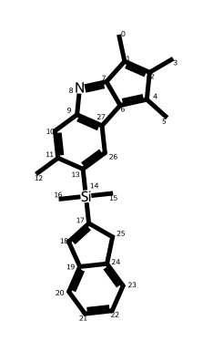 CC1=C(C)C(C)=C2C1=Nc1cc(C)c([Si](C)(C)C3=Cc4ccccc4C3)cc12